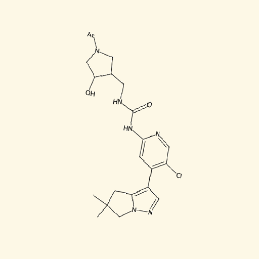 CC(=O)N1CC(O)C(CNC(=O)Nc2cc(-c3cnn4c3CC(C)(C)C4)c(Cl)cn2)C1